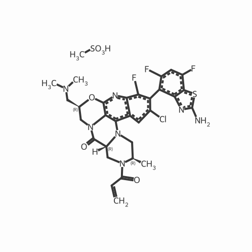 C=CC(=O)N1C[C@@H]2C(=O)N3C[C@@H](CN(C)C)Oc4nc5c(F)c(-c6c(F)cc(F)c7sc(N)nc67)c(Cl)cc5c(c43)N2C[C@H]1C.CS(=O)(=O)O